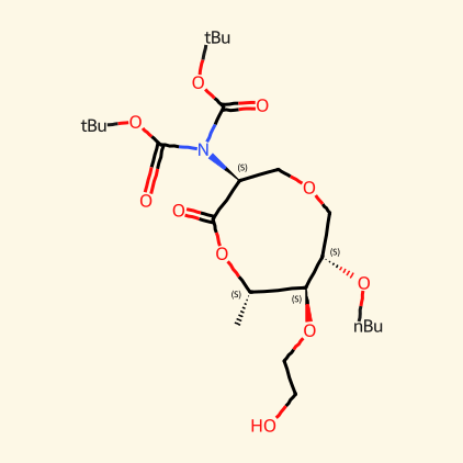 CCCCO[C@H]1COC[C@H](N(C(=O)OC(C)(C)C)C(=O)OC(C)(C)C)C(=O)O[C@@H](C)[C@@H]1OCCO